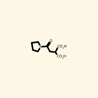 O=C(O)C(CC(=O)N1CCCC1)C(=O)O